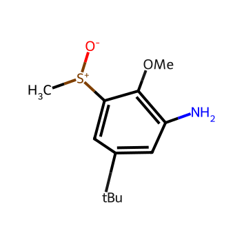 COc1c(N)cc(C(C)(C)C)cc1[S+](C)[O-]